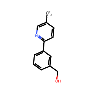 OCc1cccc(-c2ccc(C(F)(F)F)cn2)c1